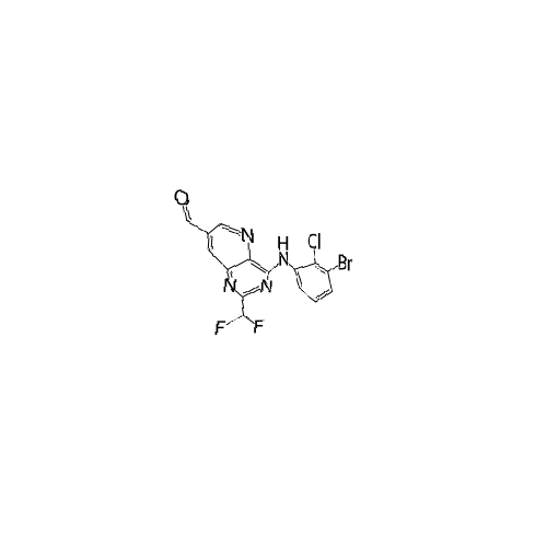 O=Cc1cnc2c(Nc3cccc(Br)c3Cl)nc(C(F)F)nc2c1